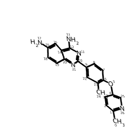 Cc1ccc(Oc2ccc(-c3nc(N)c4cc(N)ccc4n3)cc2C)cn1